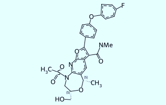 CNC(=O)c1c(-c2ccc(Oc3ccc(F)cc3)cc2)oc2nc3c(cc12)[C@H](C)O[C@H](CO)CN3S(C)(=O)=O